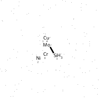 [Cr].[Cu].[Ni].[SiH3][Mo]